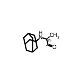 C[C@@H]([C]=O)NC12CC3CC(CC(C3)C1)C2